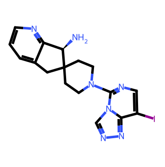 N[C@@H]1c2ncccc2CC12CCN(c1ncc(I)c3nncn13)CC2